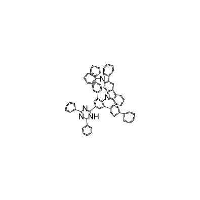 c1ccc(C2=NC(c3ccccc3)NC(c3cc(-c4ccc(-c5ccccc5)cc4)c(-n4c5ccccc5c5cc6c7ccccc7n(-c7ccccc7)c6cc54)c(-c4ccc(-c5ccccc5)cc4)c3)=N2)cc1